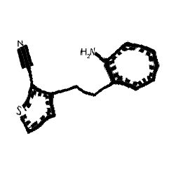 N#Cc1sccc1CCc1ccccc1N